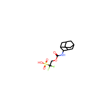 O=C(NC1C2CC3CC(C2)CC1C3)OCC(F)(F)S(=O)(=O)O